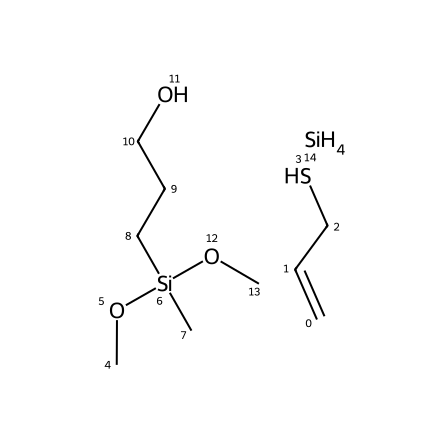 C=CCS.CO[Si](C)(CCCO)OC.[SiH4]